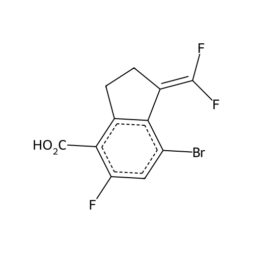 O=C(O)c1c(F)cc(Br)c2c1CCC2=C(F)F